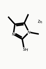 Cc1nc(S)n(C)c1C.[Zn]